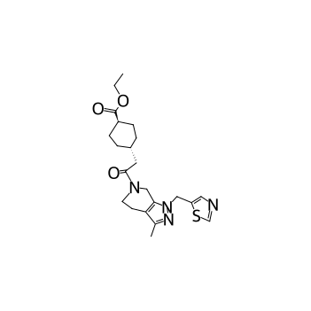 CCOC(=O)[C@H]1CC[C@H](CC(=O)N2CCc3c(C)nn(Cc4cncs4)c3C2)CC1